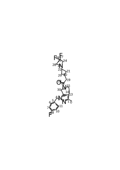 Cc1nn(Cc2ccc(F)cc2)c2c1CCN(C(=O)CC1CC(N3CC(F)(F)C3)C1)C2